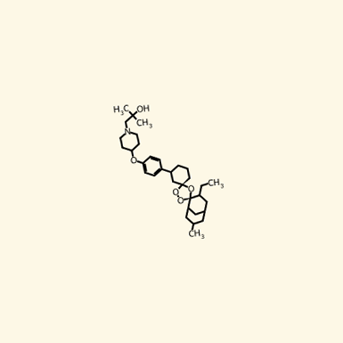 CCC1CC2CC(C)CC(C2)[C@@]12OO[C@@]1(CCCC(c3ccc(OC4CCN(CC(C)(C)O)CC4)cc3)C1)O2